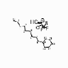 CCCCCCCCCN1CCCCC1.O=S(=O)(O)C(F)(F)F